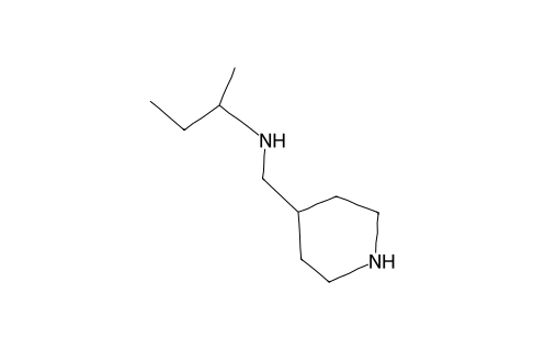 CCC(C)NCC1CCNCC1